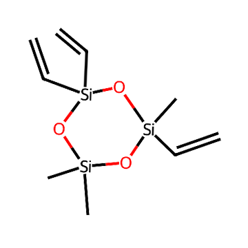 C=C[Si]1(C)O[Si](C)(C)O[Si](C=C)(C=C)O1